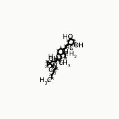 C=C1C(=CC=C2CCC[C@]3(C)[C@@H]([C@@H](C)C=C[C@@H](O)C4(c5ncc(CCCC)o5)CC4)CC[C@@H]23)C[C@@H](O)C[C@@H]1O